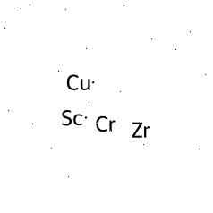 [Cr].[Cu].[Sc].[Zr]